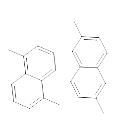 Cc1ccc2cc(C)ccc2c1.Cc1cccc2c(C)cccc12